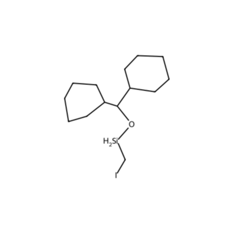 IC[SiH2]OC(C1CCCCC1)C1CCCCC1